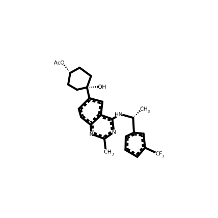 CC(=O)O[C@H]1CC[C@](O)(c2ccc3nc(C)nc(N[C@H](C)c4cccc(C(F)(F)F)c4)c3c2)CC1